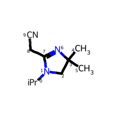 CC(C)N1CC(C)(C)N=C1CC#N